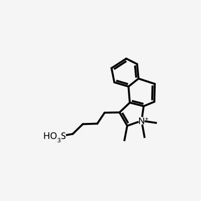 CC1=C(CCCCS(=O)(=O)O)c2c(ccc3ccccc23)[N+]1(C)C